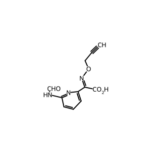 C#CCON=C(C(=O)O)c1cccc(NC=O)n1